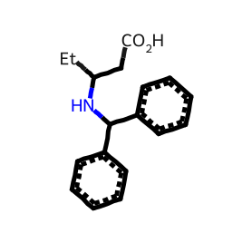 CCC(CC(=O)O)NC(c1ccccc1)c1ccccc1